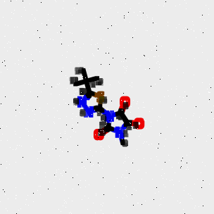 CN1C(=O)C(=O)N(c2nnc(C(C)(C)C)s2)C1=O